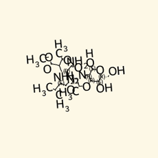 COC(=O)C(C[C@H](C(N)=O)N(CC(C)O[C@@H]1[C@@H](N)[C@@H](O)O[C@H](CO)[C@H]1O)C(=O)[C@@H](N)C(C)C)C(C)=O